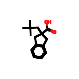 CC(C)(C)CC1(C(=O)O)Cc2ccccc2C1